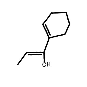 C/C=C(\O)C1=CCCCC1